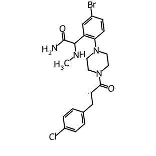 CNC(C(N)=O)c1cc(Br)ccc1N1CCN(C(=O)[CH]Cc2ccc(Cl)cc2)CC1